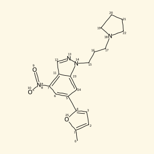 Cc1ccc(-c2cc([N+](=O)[O-])c3cnn(CCCN4CCCC4)c3c2)o1